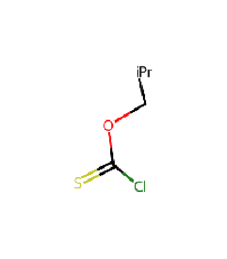 CC(C)COC(=S)Cl